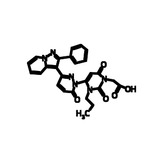 CCCn1c(-n2nc(-c3c(-c4ccccc4)nn4ccccc34)ccc2=O)cc(=O)n(CC(=O)O)c1=O